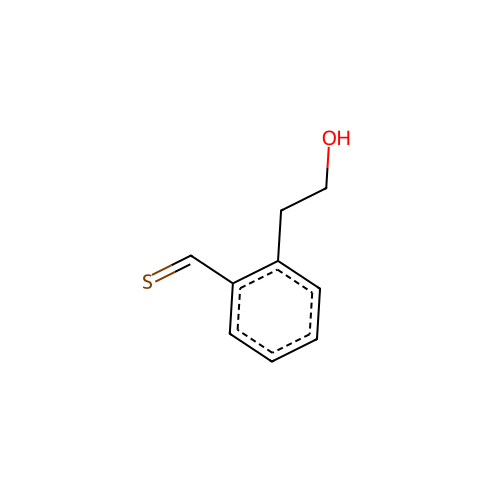 OCCc1ccccc1C=S